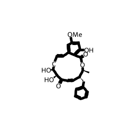 COc1cc(O)c2c(c1)/C=C/C[C@H](O)[C@H](O)C(=O)/C=C\[C@@H](Cc1ccccc1)[C@H](C)OC2=O